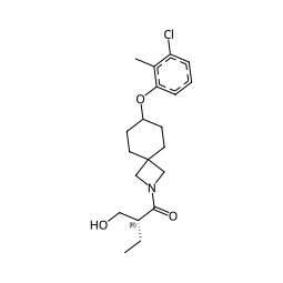 CC[C@H](CO)C(=O)N1CC2(CCC(Oc3cccc(Cl)c3C)CC2)C1